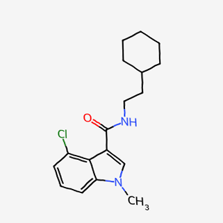 Cn1cc(C(=O)NCCC2CCCCC2)c2c(Cl)cccc21